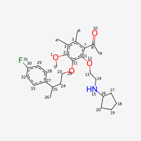 COc1c(C)c(C)c(C(C)=O)c(OCCNC2CCCC2)c1OCCC(C)c1ccc(F)cc1